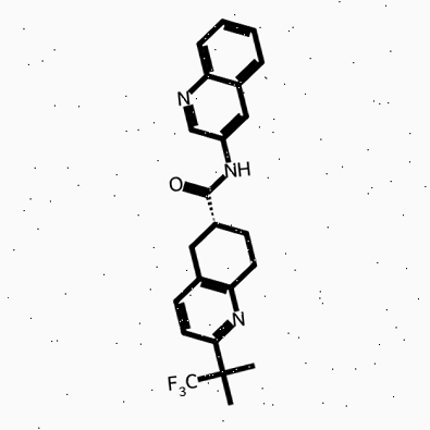 CC(C)(c1ccc2c(n1)CC[C@@H](C(=O)Nc1cnc3ccccc3c1)C2)C(F)(F)F